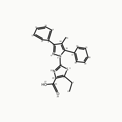 CCc1sc(-n2nc(-c3ccccc3)c(C)c2-c2ccccc2)nc1C(=O)O